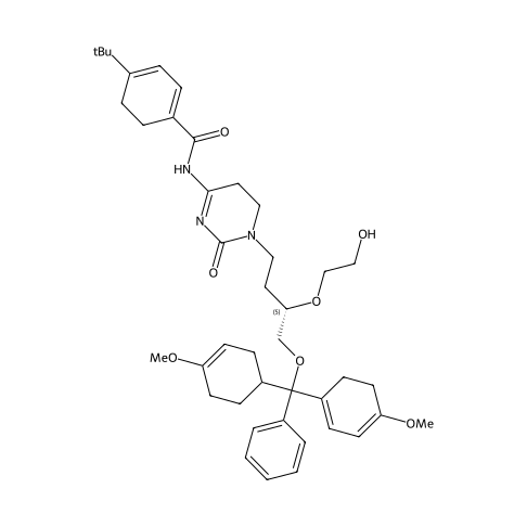 COC1=CC=C(C(OC[C@H](CCN2CCC(NC(=O)C3=CC=C(C(C)(C)C)CC3)=NC2=O)OCCO)(c2ccccc2)C2CC=C(OC)CC2)CC1